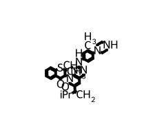 C=C(c1cc2cnc(Nc3ccc(N4CCNCC4)c(C)c3)nc2n(C2C(=O)c3ccccc3SC2(C)C)c1=O)C(C)C